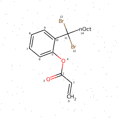 C=CC(=O)Oc1ccccc1C(Br)(Br)CCCCCCCC